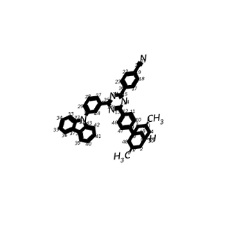 C[C@@H]1C[C@@H]2C[C@H](C)CC(c3ccc(-c4nc(-c5ccc(C#N)cc5)nc(-c5cccc(-n6c7ccccc7c7ccccc76)c5)n4)cc3)(C1)C2